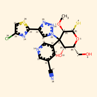 CO[C@H]1[C@@H](S)O[C@H](CO)[C@H](O)C1(c1cncc(C#N)c1)n1cc(-c2nc(Cl)cs2)nn1